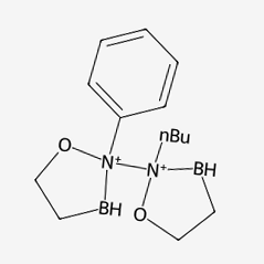 CCCC[N+]1([N+]2(c3ccccc3)BCCO2)BCCO1